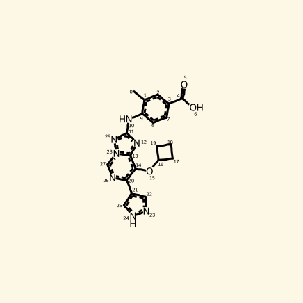 Cc1cc(C(=O)O)ccc1Nc1nc2c(OC3CCC3)c(-c3cn[nH]c3)ncn2n1